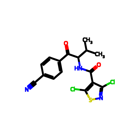 CC(C)C(NC(=O)c1c(Cl)nsc1Cl)C(=O)c1ccc(C#N)cc1